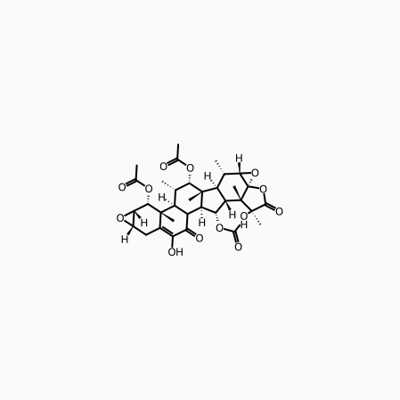 CC(=O)O[C@H]1[C@@H]2[C@H]([C@H](C)[C@@H]3O[C@@]34OC(=O)[C@@](C)(O)[C@]24C)[C@]2(C)[C@@H]1C1C(=O)C(O)=C3C[C@@H]4O[C@@H]4[C@H](OC(C)=O)[C@]3(C)[C@H]1[C@H](C)[C@@H]2OC(C)=O